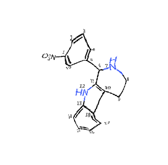 O=[N+]([O-])c1cccc(C2NCCc3c2[nH]c2ccccc32)c1